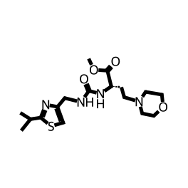 COC(=O)[C@H](CCN1CCOCC1)NC(=O)NCc1csc(C(C)C)n1